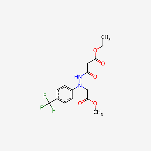 CCOC(=O)CC(=O)NN(CC(=O)OC)c1ccc(C(F)(F)F)cc1